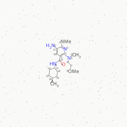 CNc1nc(N(C)CCOC)c(C(=O)N[C@H]2CC[C@H](C)CC2)cc1N